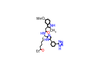 CCC(=O)CCCCC[C@H](NC(=O)Cc1c(C)[nH]c2ccc(OC)cc12)c1ncc(-c2cccc(-c3nnn[nH]3)c2)[nH]1